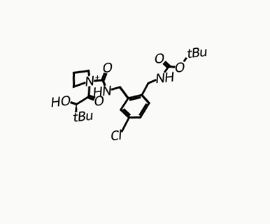 CC(C)(C)OC(=O)NCc1ccc(Cl)cc1CNC(=O)[N+]1(C(=O)[C@H](O)C(C)(C)C)CCC1